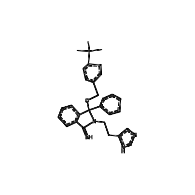 CC(C)(C)c1ccc(COC2(c3ccccc3)c3ccccc3C(=N)N2CCc2cnc[nH]2)cc1